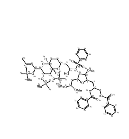 COC(C[C@@H]1O[C@H](C[C@@H](COC(=O)c2ccccc2)OC(=O)c2ccccc2)[C@H](OC)[C@H]1[C@H](C(O)C[C@H]1CC[C@@H]2O[C@@H]([C@H](/C=C/I)O[Si](C)(C)C(C)(C)C)[C@@H](O[Si](C)(C)C(C)(C)C)[C@@H](O[Si](C)(C)C(C)(C)C)[C@H]2O1)S(=O)(=O)c1ccccc1)OC